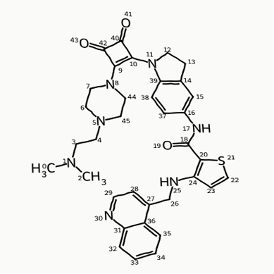 CN(C)CCN1CCN(c2c(N3CCc4cc(NC(=O)c5sccc5NCc5ccnc6ccccc56)ccc43)c(=O)c2=O)CC1